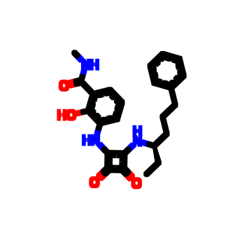 CC[C@H](CCCc1ccccc1)Nc1c(Nc2cccc(C(=O)NC)c2O)c(=O)c1=O